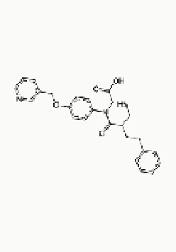 O=C(O)CN(C(=O)C(CS)CCc1ccccc1)c1ccc(OCc2cccnc2)cc1